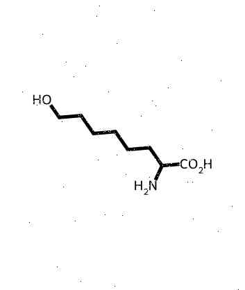 NC(CCCCCCO)C(=O)O